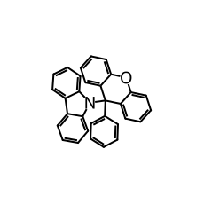 c1ccc(C2(n3c4ccccc4c4ccccc43)c3ccccc3Oc3ccccc32)cc1